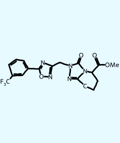 COC(=O)C1CCCc2nn(Cc3noc(-c4cccc(C(F)(F)F)c4)n3)c(=O)n21